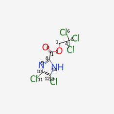 O=C(OCC(Cl)(Cl)Cl)c1nc(Cl)c(Cl)[nH]1